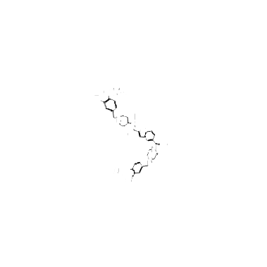 COc1ccc(CN2CCC(NC(=O)c3cc4cc(C(=O)N5CCN(Cc6ccc(C)c(Cl)c6)CC5)ccc4o3)CC2)cc1F